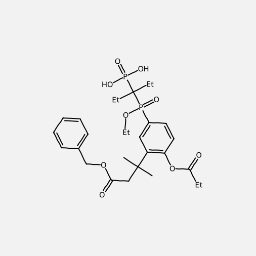 CCOP(=O)(c1ccc(OC(=O)CC)c(C(C)(C)CC(=O)OCc2ccccc2)c1)C(CC)(CC)P(=O)(O)O